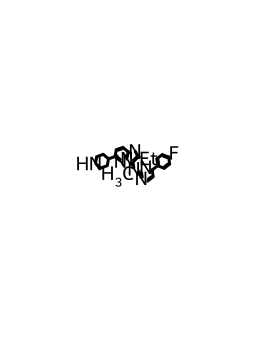 CCc1nc2ccc(C3CCNCC3)nn2c1N(C)c1nccc(-c2ccc(F)cc2)n1